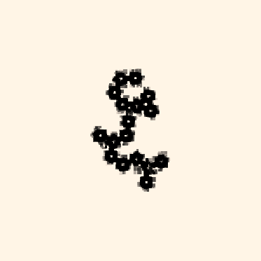 c1ccc(C2=NC(c3cccc(-c4cccc(-c5cccc(-c6cc(-c7cccc(-c8ccc(-n9c%10ccc(-c%11cccc(-c%12cccc(-c%13ccccc%13)c%12)c%11)cc%10c%10cc%11c%12ccccc%12c%12ccccc%12c%11cc%109)cc8)c7)cc7c6oc6ccccc67)c5)c4)c3)NC(c3ccccc3)=N2)cc1